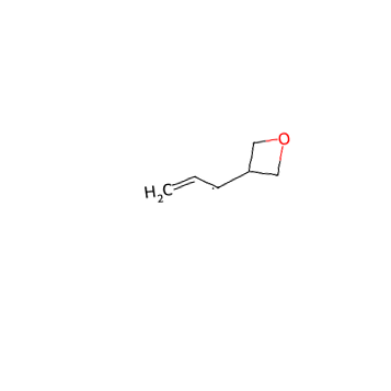 C=C[CH]C1COC1